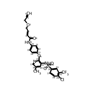 C#CCOC/C=C/C(=O)Nc1ccc(Oc2ncc(C)cc2NS(=O)(=O)c2ccc(Cl)c(C(F)(F)F)c2)cc1